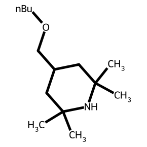 CCCCOCC1CC(C)(C)NC(C)(C)C1